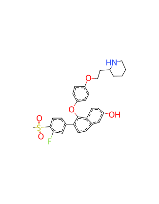 CS(=O)(=O)c1ccc(-c2ccc3cc(O)ccc3c2Oc2ccc(OCCC3CCCCN3)cc2)cc1F